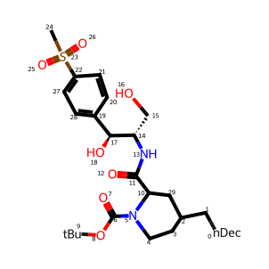 CCCCCCCCCCCC1CCN(C(=O)OC(C)(C)C)C(C(=O)N[C@@H](CO)[C@@H](O)c2ccc(S(C)(=O)=O)cc2)C1